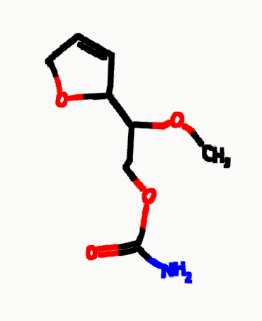 COC(COC(N)=O)C1C=CCO1